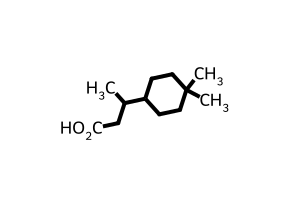 CC(CC(=O)O)C1CCC(C)(C)CC1